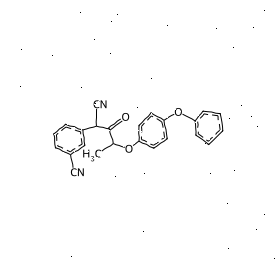 CC(Oc1ccc(Oc2ccccc2)cc1)C(=O)C(C#N)c1cccc(C#N)c1